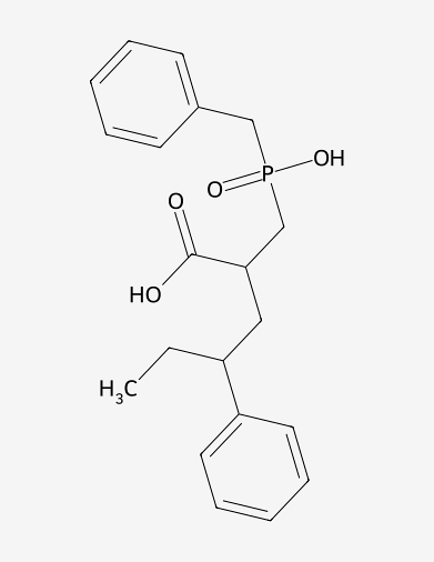 CCC(CC(CP(=O)(O)Cc1ccccc1)C(=O)O)c1ccccc1